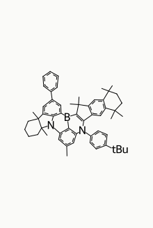 Cc1cc2c3c(c1)N1c4c(cc(-c5ccccc5)cc4C4(C)CCCCC14C)B3C1=C(c3cc4c(cc3C1(C)C)C(C)(C)CCC4(C)C)N2c1ccc(C(C)(C)C)cc1